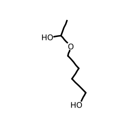 CC(O)OCCCCO